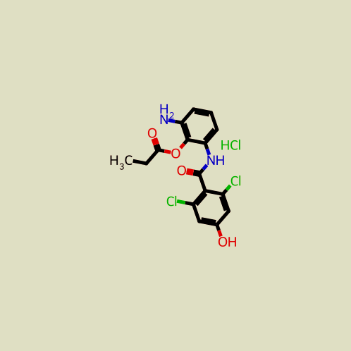 CCC(=O)Oc1c(N)cccc1NC(=O)c1c(Cl)cc(O)cc1Cl.Cl